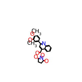 COc1ccc(-c2cc(C(=O)ON3C(=O)CCC3=O)c3ccccc3n2)cc1OC